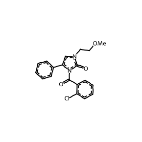 COCCn1cc(-c2ccccc2)n(C(=O)c2ccccc2Cl)c1=O